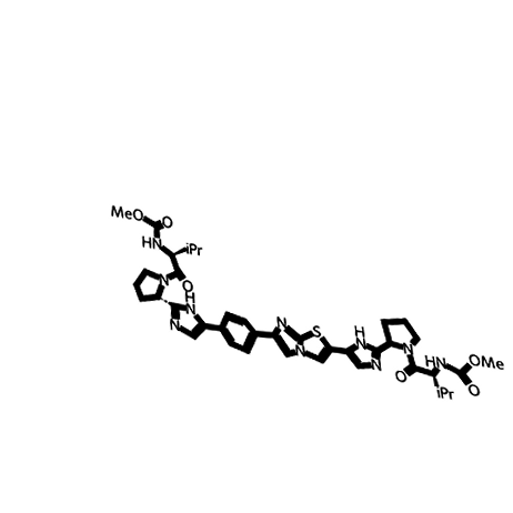 COC(=O)N[C@H](C(=O)N1CCCC1c1ncc(-c2cn3cc(-c4ccc(-c5cnc([C@@H]6CCCN6C(=O)[C@@H](NC(=O)OC)C(C)C)[nH]5)cc4)nc3s2)[nH]1)C(C)C